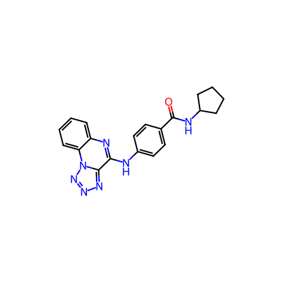 O=C(NC1CCCC1)c1ccc(Nc2nc3ccccc3n3nnnc23)cc1